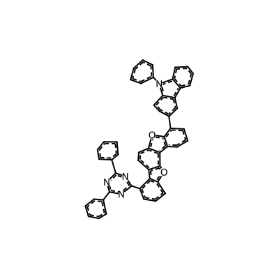 c1ccc(-c2nc(-c3ccccc3)nc(-c3cccc4oc5c(ccc6oc7c(-c8ccc9c(c8)c8ccccc8n9-c8ccccc8)cccc7c65)c34)n2)cc1